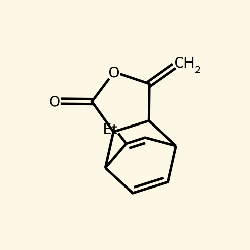 C=C1OC(=O)C2C3C=CC(C=C3CC)C12